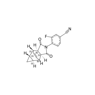 N#Cc1ccc(N2C(=O)[C@@H]3[C@@H]4C=C[C@@H]([C@H]5C[C@H]45)[C@@H]3C2=O)c(F)c1